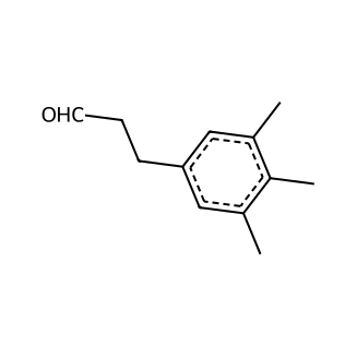 Cc1cc(CCC=O)cc(C)c1C